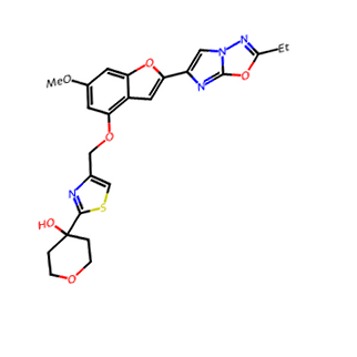 CCc1nn2cc(-c3cc4c(OCc5csc(C6(O)CCOCC6)n5)cc(OC)cc4o3)nc2o1